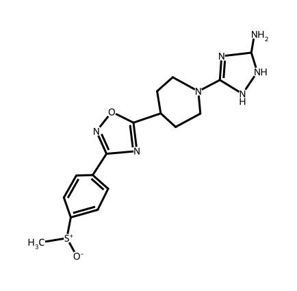 C[S+]([O-])c1ccc(-c2noc(C3CCN(C4=NC(N)NN4)CC3)n2)cc1